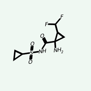 NC1(C(=O)NS(=O)(=O)C2CC2)CC1C(F)F